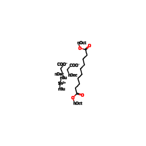 CCCCCCCCCCCC(=O)[O-].CCCCCCCCCCCC(=O)[O-].CCCCCCCCOC(=O)CCCCCCCCC(=O)OCCCCCCCC.CCC[CH2][Sn+2][CH2]CCC